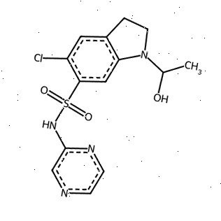 CC(O)N1CCc2cc(Cl)c(S(=O)(=O)Nc3cnccn3)cc21